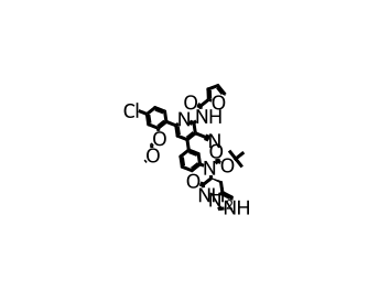 COCOc1cc(Cl)ccc1-c1cc(-c2cccc(N(C(=O)OC(C)(C)C)[C@@H](Cc3c[nH]cn3)C(N)=O)c2)c(C#N)c(NC(=O)c2ccco2)n1